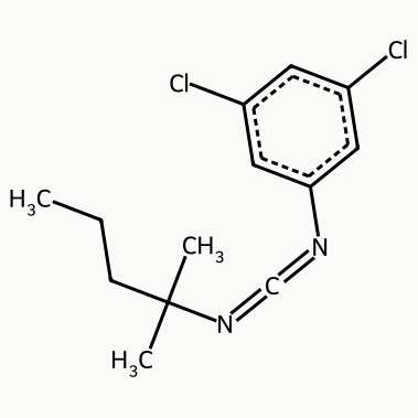 CCCC(C)(C)N=C=Nc1cc(Cl)cc(Cl)c1